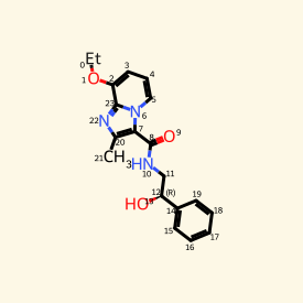 CCOc1cccn2c(C(=O)NC[C@H](O)c3ccccc3)c(C)nc12